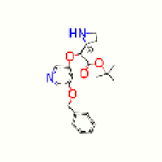 CC(C)(C)OC(=O)C(Oc1cncc(OCc2ccccc2)c1)[C@@H]1CCN1